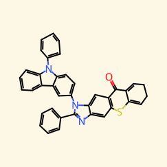 O=c1c2c(sc3cc4nc(-c5ccccc5)n(-c5ccc6c(c5)c5ccccc5n6-c5ccccc5)c4cc13)=CCCC=2